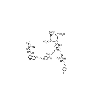 C/C(=N\CCCCC(NC(=O)CN1CCN(CC(=O)O)CCN(CC(=O)O)CCN(CC(=O)O)CC1)C(=O)NCCSC[C@@H](O)C(=O)N1CCN(CCCOc2ccc3nccc(C(=O)NCC(=O)N4CC(F)(F)C[C@@H]4C#N)c3c2)CC1)NC(=O)CCCc1ccc(I)cc1